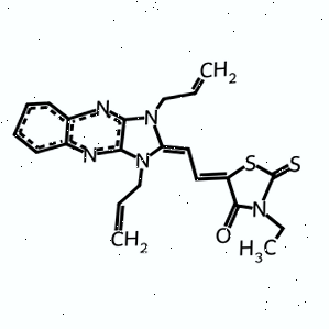 C=CCN1C(=CC=C2SC(=S)N(CC)C2=O)N(CC=C)c2nc3ccccc3nc21